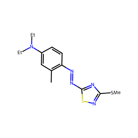 CCN(CC)c1ccc(N=Nc2nc(SC)ns2)c(C)c1